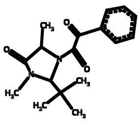 CC1C(=O)N(C)C(C(C)(C)C)N1C(=O)C(=O)c1ccccc1